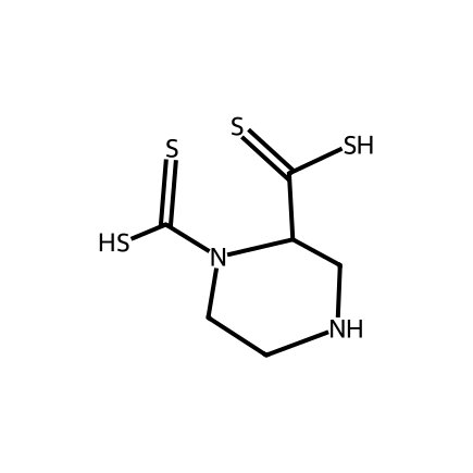 S=C(S)C1CNCCN1C(=S)S